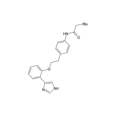 CC(C)(C)CC(=O)Nc1ccc(CCOc2ccccc2-c2c[nH]cn2)cc1